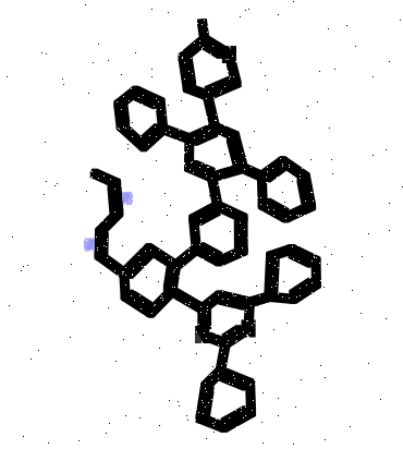 C/C=C\C=C/c1ccc(-c2cc(-c3ccccc3)nc(-c3ccccc3)n2)c(-c2cccc(-c3cc(-c4ccccc4)c(-c4ccc(C)nc4)cc3-c3ccccc3)c2)c1